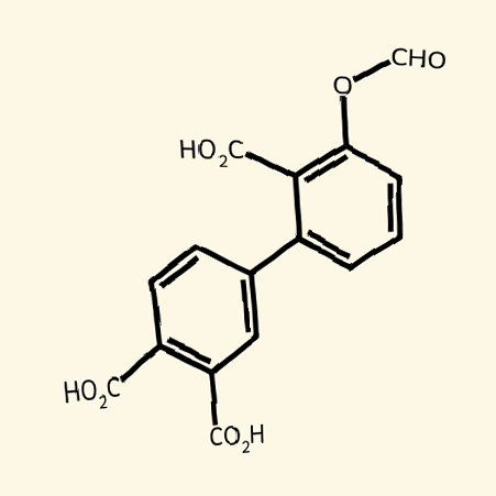 O=COc1cccc(-c2ccc(C(=O)O)c(C(=O)O)c2)c1C(=O)O